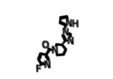 O=C(c1ccc(F)nc1)N1CCC[C@H](c2cn(-c3ccc[nH]3)cn2)C1